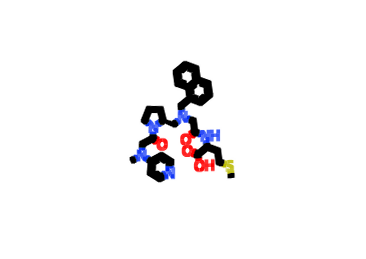 CSCCC(NC(=O)CN(Cc1cccc2ccccc12)C[C@@H]1CCCN1C(=O)CN(C)c1ccncc1)C(=O)O